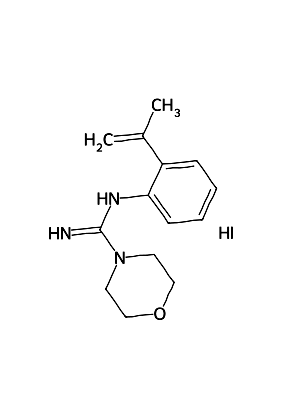 C=C(C)c1ccccc1NC(=N)N1CCOCC1.I